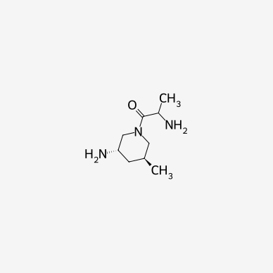 CC(N)C(=O)N1C[C@@H](C)C[C@H](N)C1